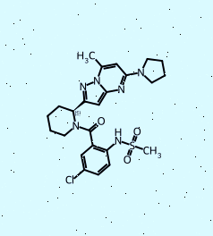 Cc1cc(N2CCCC2)nc2cc([C@@H]3CCCCN3C(=O)c3cc(Cl)ccc3NS(C)(=O)=O)nn12